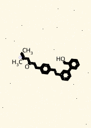 C/C=C(/C)CC(=O)CCc1ccc(CCc2cccc(-c3ccccc3CO)c2)cc1